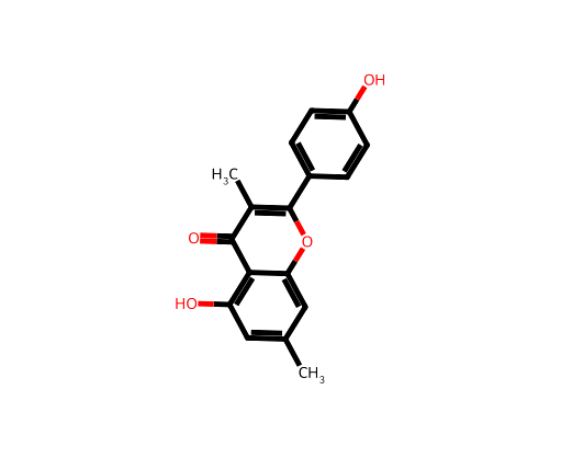 Cc1cc(O)c2c(=O)c(C)c(-c3ccc(O)cc3)oc2c1